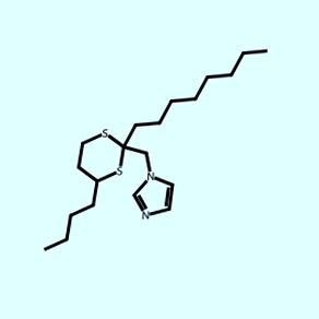 CCCCCCCCC1(Cn2ccnc2)SCCC(CCCC)S1